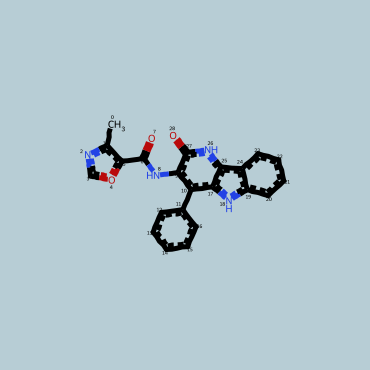 Cc1ncoc1C(=O)Nc1c(-c2ccccc2)c2[nH]c3ccccc3c2[nH]c1=O